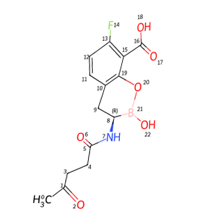 CC(=O)CCC(=O)N[C@H]1Cc2ccc(F)c(C(=O)O)c2OB1O